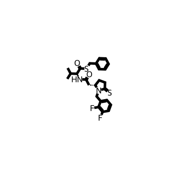 CC(C)[C@H](NC(=O)C[C@@H]1CCC(=S)N1Cc1cccc(F)c1F)C(=O)SCc1ccccc1